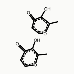 Cc1occc(=O)c1O.Cc1occc(=O)c1O